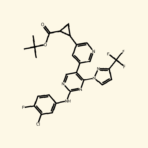 CC(C)(C)OC(=O)C1CC1c1cncc(-c2cnc(Nc3ccc(F)c(Cl)c3)nc2-n2ccc(C(F)(F)F)n2)c1